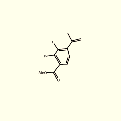 C=C(C)c1ccc(C(=O)OC)c(F)c1F